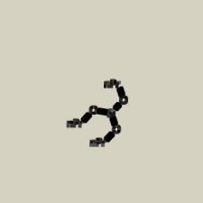 CCCO[Si](OCCC)OCCC